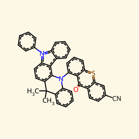 CC1(C)c2ccccc2N(c2cccc3sc4cc(C#N)ccc4c(=O)c23)c2c1ccc1c2c2ccccc2n1-c1ccccc1